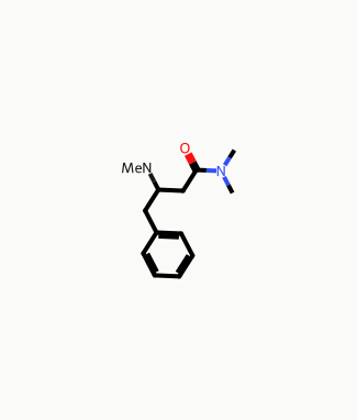 CNC(CC(=O)N(C)C)Cc1ccccc1